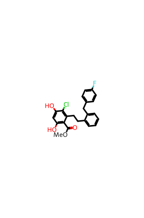 COC(=O)c1c(O)cc(O)c(Cl)c1CCc1ccccc1Cc1ccc(F)cc1